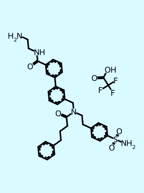 NCCNC(=O)c1cccc(-c2cccc(CN(CCc3ccc(S(N)(=O)=O)cc3)C(=O)CCCc3ccccc3)c2)c1.O=C(O)C(F)(F)F